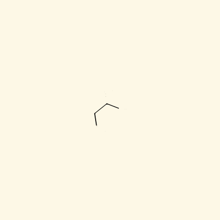 C[CH][C@H](C)S